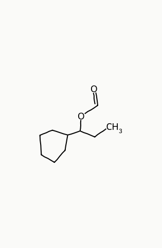 CCC(OC=O)C1CCCCC1